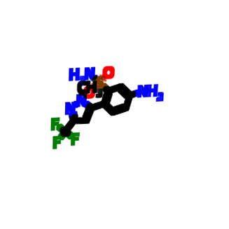 Cn1nc(C(F)(F)F)cc1-c1ccc(N)cc1S(N)(=O)=O